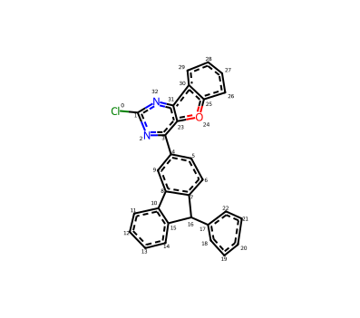 Clc1nc(-c2ccc3c(c2)-c2ccccc2C3c2ccccc2)c2oc3ccccc3c2n1